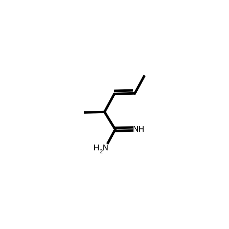 CC=CC(C)C(=N)N